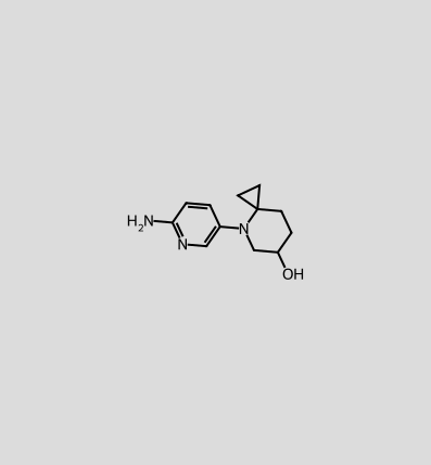 Nc1ccc(N2CC(O)CCC23CC3)cn1